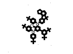 CC(C)(C)c1ccc(N(c2ccc(C(C)(C)C)cc2)c2cc(-c3cc(C(C)(C)C)cc(C(C)(C)C)c3)cc(N(c3ccc(C(C)(C)C)cc3)c3ccc4c(c3)-c3c(ccc5c3CCC5)C4(C)C)c2Cl)cc1